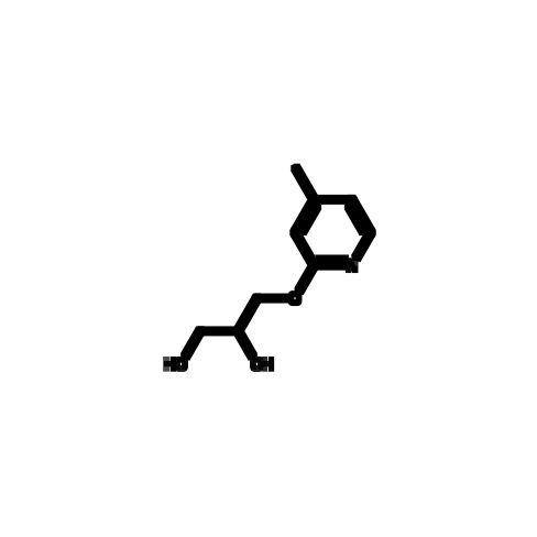 Cc1ccnc(OCC(O)CO)c1